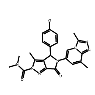 Cc1cc(N2C(=O)c3nn(C(=O)N(C)C)c(C)c3C2c2ccc(Cl)cc2)cn2c(C)nnc12